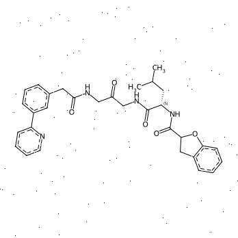 CC(C)C[C@H](NC(=O)C1Cc2ccccc2O1)C(=O)NCC(=O)CNC(=O)Cc1cccc(-c2ccccn2)c1